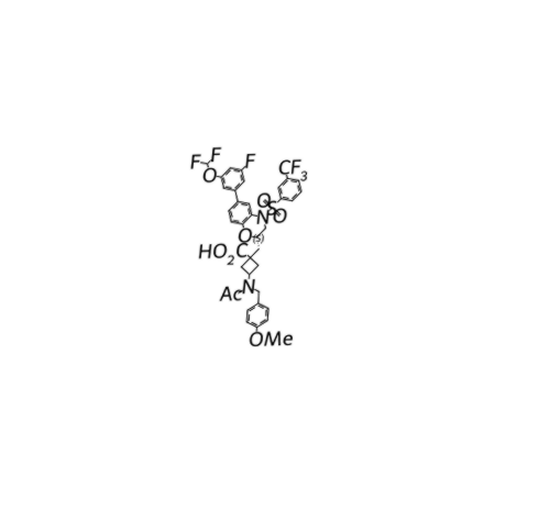 COc1ccc(CN(C(C)=O)C2CC(C[C@H]3CN(S(=O)(=O)c4cccc(C(F)(F)F)c4)c4cc(-c5cc(F)cc(OC(F)F)c5)ccc4O3)(C(=O)O)C2)cc1